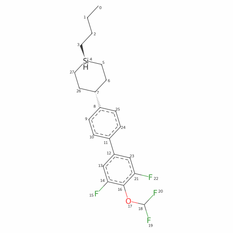 CCCC[Si@H]1CC[C@H](c2ccc(-c3cc(F)c(OC(F)F)c(F)c3)cc2)CC1